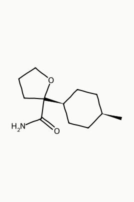 C[C@H]1CC[C@@H](C2(C(N)=O)CCCO2)CC1